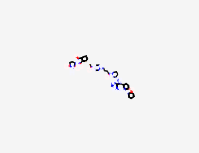 Nc1ncnc2c1c(-c1ccc(Oc3ccccc3)cc1)nn2C1CCCN(C(=O)CCCN2CCN(C(=O)CSc3cccc4c3C(=O)N(C3CCC(=O)NC3=O)C4=O)CC2)C1